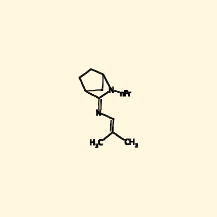 CCCN1/C(=N\C=C(C)C)C2CCC1C2